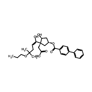 CCCOC(C)(C)C/C=C(/O)[C@@]1(CC(=O)O)C[C@H](OC(=O)c2ccc(-c3ccccc3)cc2)C[C@@H]1O